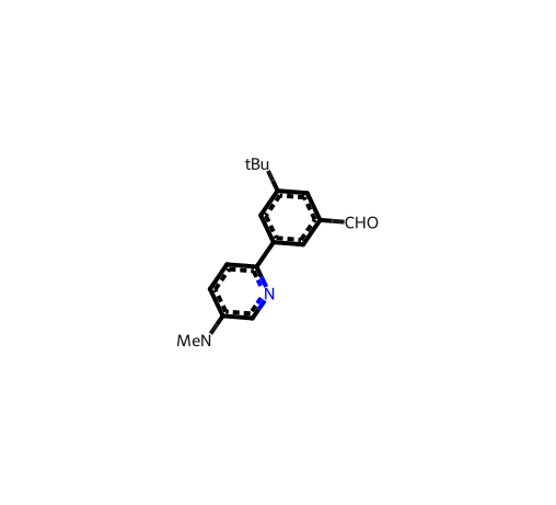 CNc1ccc(-c2cc(C=O)cc(C(C)(C)C)c2)nc1